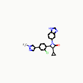 O=C1C(C2CC2)C(c2ccc(-c3cnn(C(F)(F)F)c3)cc2Cl)N1c1ccc2[nH]cnc2c1